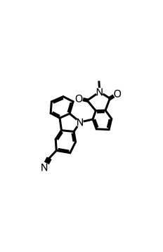 CN1C(=O)c2cccc(-n3c4ccccc4c4cc(C#N)ccc43)c2C1=O